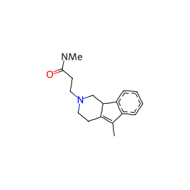 CNC(=O)CCN1CCC2=C(C)c3ccccc3C2C1